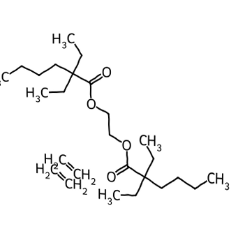 C=C.C=C.CCCCC(CC)(CC)C(=O)OCCOC(=O)C(CC)(CC)CCCC